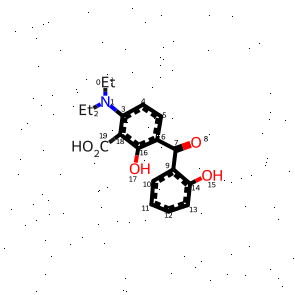 CCN(CC)c1ccc(C(=O)c2ccccc2O)c(O)c1C(=O)O